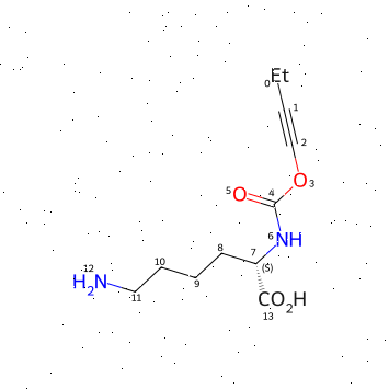 CCC#COC(=O)N[C@@H](CCCCN)C(=O)O